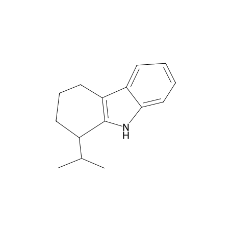 CC(C)C1CCCc2c1[nH]c1ccccc21